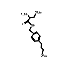 COCCCc1ccc(CNC(=O)C(COC)NC(C)=O)cc1